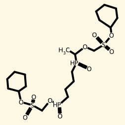 CC(OCS(=O)(=O)OC1CCCCC1)[PH](=O)CCCC[PH](=O)OCS(=O)(=O)OC1CCCCC1